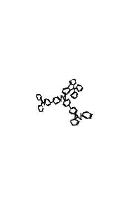 c1ccc(N(c2ccccc2)c2ccc(-c3ccc(N(c4ccc(-c5ccc(N(c6ccccc6)c6ccccc6)cc5)cc4)c4ccc5c(c4)C(c4ccccc4)(c4ccccc4)c4ccccc4-5)cc3)cc2)cc1